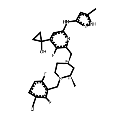 Cc1cc(Nc2cc(C3(O)CC3)c(F)c(C[C@@H]3CCN(Cc4c(F)ccc(Cl)c4F)[C@H](C)C3)n2)n[nH]1